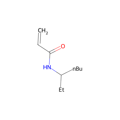 C=CC(=O)NC(CC)CCCC